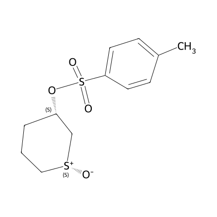 Cc1ccc(S(=O)(=O)O[C@H]2CCC[S@@+]([O-])C2)cc1